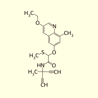 C#CC(C)(C#C)NC(=O)C(Oc1cc(C)c2ncc(OCC)cc2c1)SC